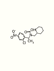 CC(c1ccc([N+](=O)[O-])cc1Cl)N(CC1CCCCC1)C(=O)O